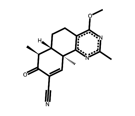 COc1nc(C)nc2c1CC[C@H]1[C@H](C)C(=O)C(C#N)=C[C@]21C